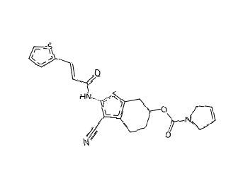 N#Cc1c(NC(=O)C=Cc2cccs2)sc2c1CCC(OC(=O)N1CC=CC1)C2